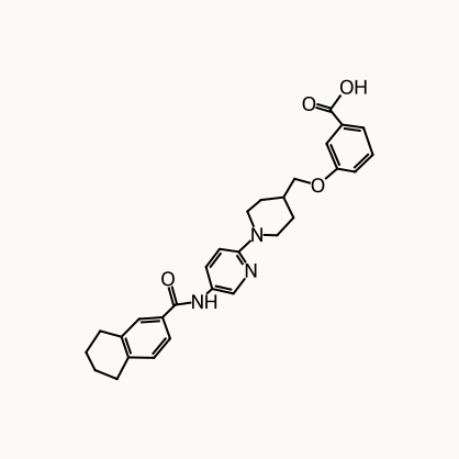 O=C(O)c1cccc(OCC2CCN(c3ccc(NC(=O)c4ccc5c(c4)CCCC5)cn3)CC2)c1